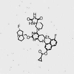 CCc1c(F)ccc2cc(OC(=O)C3CC3)cc(N3CCc4c(nc(OC[C@@]56CCCN5C[C@H](F)C6)nc4N4CCC[C@]5(C4)NC(=O)NC5=O)C3)c12